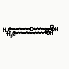 CCCCCCCCCCCCCCCCCCCCCCCC(=O)O.CCCCCCCCCCCCCCCCCCCCCCCCCCCCCC(=O)O